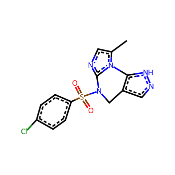 Cc1cnc2n1-c1[nH]ncc1CN2S(=O)(=O)c1ccc(Cl)cc1